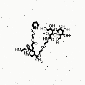 C=C(OCCSSCCNC(=O)[C@H](O)[C@@H](O)C(O[C@@H]1O[C@H](CO)[C@H](O)[C@H](O)[C@H]1O)[C@H](O)CO)C(CC(C)C)CC(C)(CC(C(=O)OCCSSc1ccccn1)C(C)C)C(=O)OCCO